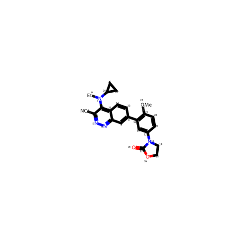 CCN(c1c(C#N)nnc2cc(-c3cc(N4CCOC4=O)ccc3OC)ccc12)C1CC1